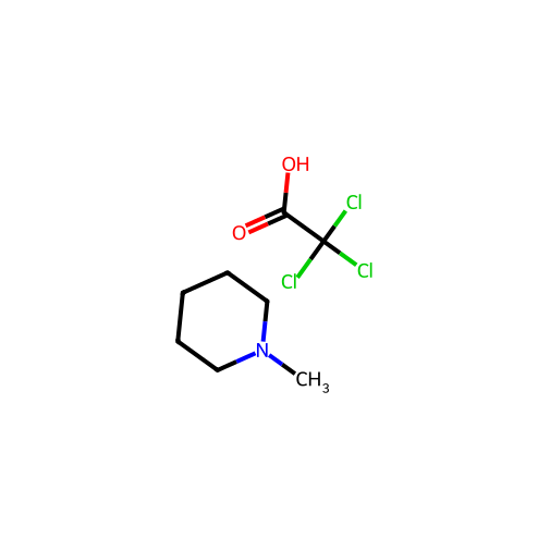 CN1CCCCC1.O=C(O)C(Cl)(Cl)Cl